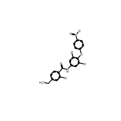 CCc1ccc(C(=O)Nc2cc(Cl)c(Oc3ccc([N+](=O)[O-])cc3)c(Cl)c2)c(Cl)c1